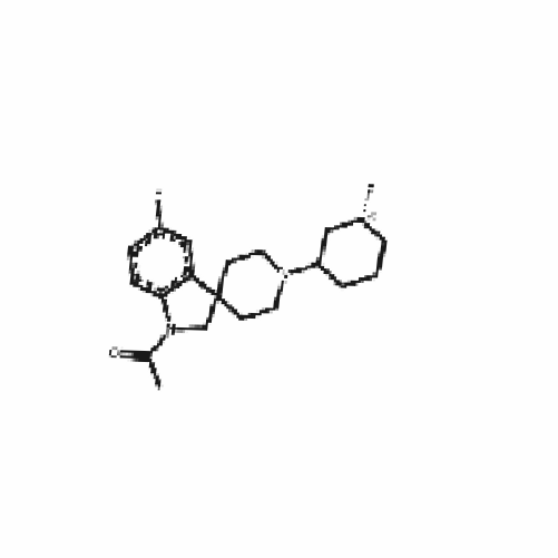 CC(=O)N1CC2(CCN(C3CCC[C@@H](C)C3)CC2)c2cc(F)ccc21